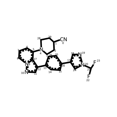 N#CC1CCN(c2cccn3ncc(-c4ccc(-c5cnn(C(F)F)c5)cc4)c23)CC1